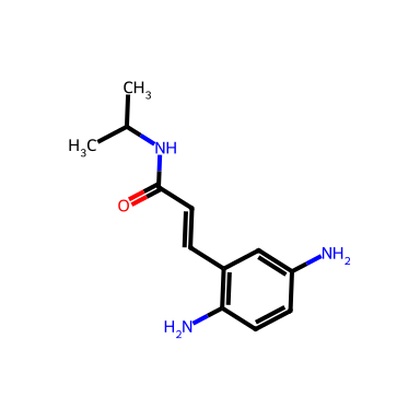 CC(C)NC(=O)C=Cc1cc(N)ccc1N